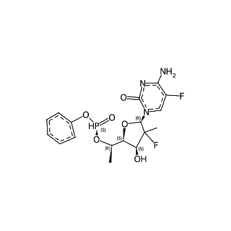 C[C@@H](O[P@H](=O)Oc1ccccc1)[C@H]1O[C@@H](n2cc(F)c(N)nc2=O)C(C)(F)[C@H]1O